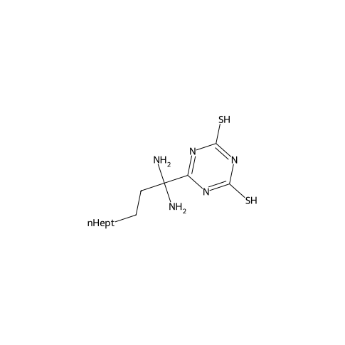 CCCCCCCCCC(N)(N)c1nc(S)nc(S)n1